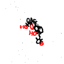 CC(=O)O[C@@H]([C@H]1C[C@@H](C)C2C(C[C@@]3(CO)[C@H](CCC4C(C)CCC(=O)C4(C)C)CCC[C@]23C)O1)C(C)(C)O